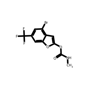 CNC(=O)Oc1cc2c(Br)cc(C(F)(F)F)cc2o1